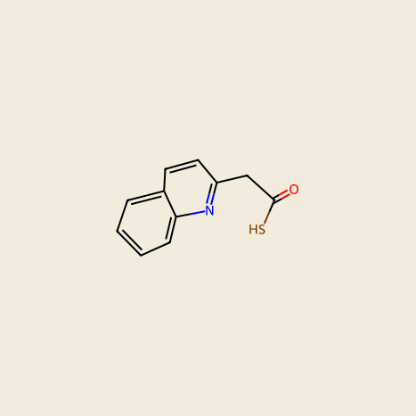 O=C(S)Cc1ccc2ccccc2n1